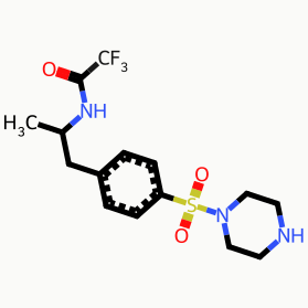 CC(Cc1ccc(S(=O)(=O)N2CCNCC2)cc1)NC(=O)C(F)(F)F